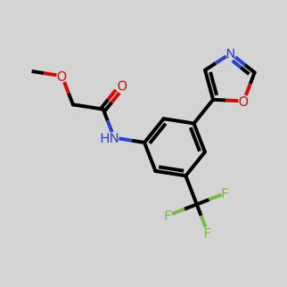 COCC(=O)Nc1cc(-c2cnco2)cc(C(F)(F)F)c1